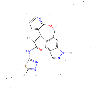 CCC(C(=O)Nc1nnc(C(F)(F)F)s1)=C1c2cc3cnn(C(C)C)c3cc2COc2ncccc21